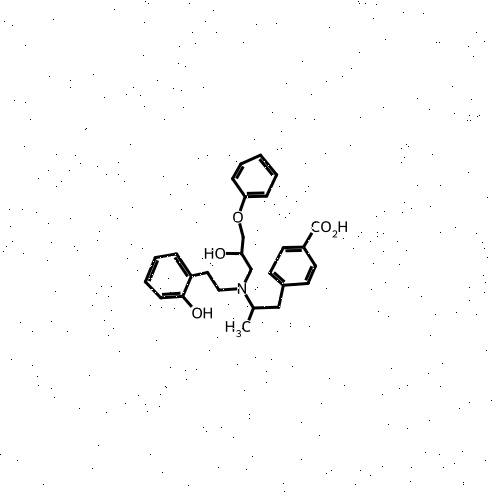 CC(Cc1ccc(C(=O)O)cc1)N(CCc1ccccc1O)CC(O)COc1ccccc1